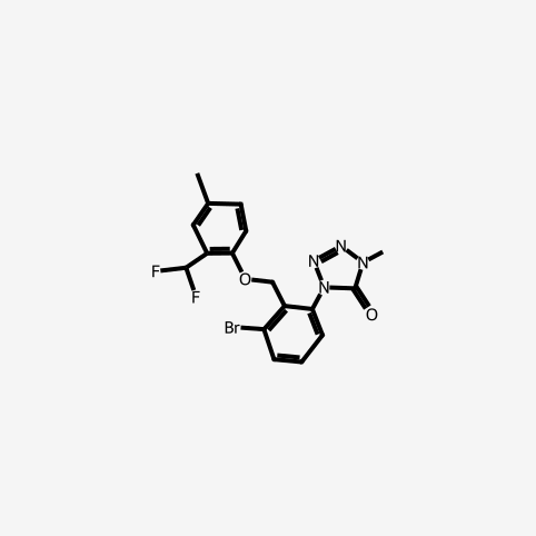 Cc1ccc(OCc2c(Br)cccc2-n2nnn(C)c2=O)c(C(F)F)c1